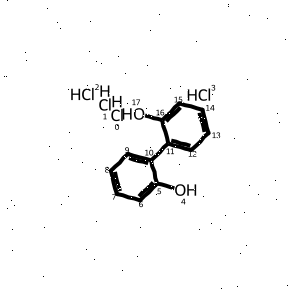 Cl.Cl.Cl.Cl.Oc1ccccc1-c1ccccc1O